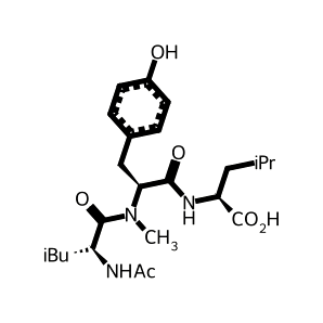 CC[C@@H](C)[C@H](NC(C)=O)C(=O)N(C)[C@@H](Cc1ccc(O)cc1)C(=O)N[C@@H](CC(C)C)C(=O)O